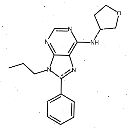 CCCn1c(-c2ccccc2)nc2c(NC3CCOC3)ncnc21